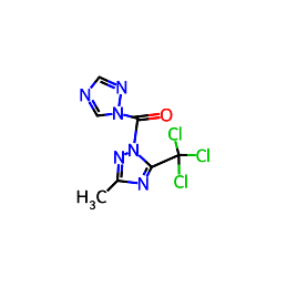 Cc1nc(C(Cl)(Cl)Cl)n(C(=O)n2cncn2)n1